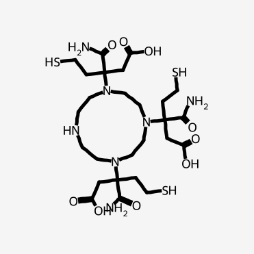 NC(=O)C(CCS)(CC(=O)O)N1CCNCCN(C(CCS)(CC(=O)O)C(N)=O)CCN(C(CCS)(CC(=O)O)C(N)=O)CC1